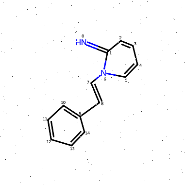 N=c1ccccn1C=Cc1ccccc1